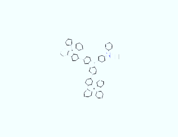 CN(c1ccccc1)c1ccc(C2c3ccc(-c4ccc5c(c4)C(c4ccccc4)(c4ccccc4)C4=C5C=CCC4)cc3-c3cc(-c4ccc5c(c4)C(c4ccccc4)(c4ccccc4)c4ccccc4-5)ccc32)cc1